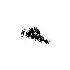 CC[C@H](C)[C@@H]([C@H](CC(=O)N1CCC[C@H]1[C@H](OC)[C@@H](C)C(=O)N[C@@H](Cc1ccccc1)C(=O)NS(=O)(=O)CCCN=[N+]=[N-])OC)N(C)C(=O)C(N)C(C)C